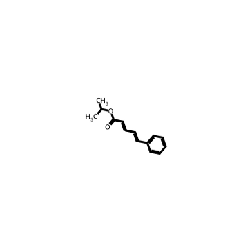 CC(C)OC(=O)/C=C/C=C/c1ccccc1